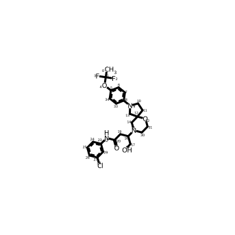 CC(F)(F)Oc1ccc(N2CCC3(C2)CN(C(CO)CC(=O)Nc2cccc(Cl)c2)CCO3)cc1